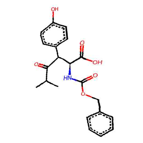 CC(C)C(=O)C(c1ccc(O)cc1)[C@H](NC(=O)OCc1ccccc1)C(=O)O